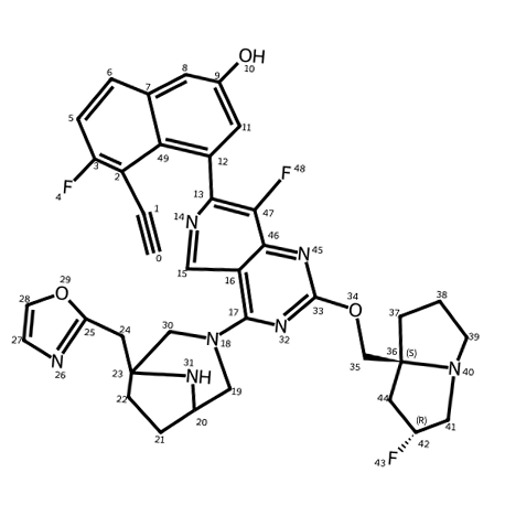 C#Cc1c(F)ccc2cc(O)cc(-c3ncc4c(N5CC6CCC(Cc7ncco7)(C5)N6)nc(OC[C@@]56CCCN5C[C@H](F)C6)nc4c3F)c12